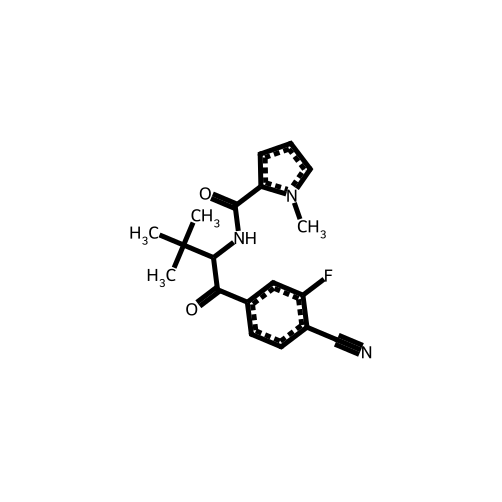 Cn1cccc1C(=O)NC(C(=O)c1ccc(C#N)c(F)c1)C(C)(C)C